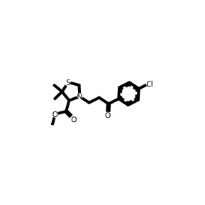 COC(=O)C1N(CCC(=O)c2ccc(Cl)cc2)CSC1(C)C